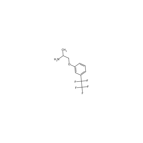 CC(N)COc1cccc(C(F)(F)C(F)(F)F)c1